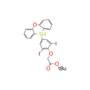 CC(C)(C)OC(=O)COc1c(I)cc([SH]2c3ccccc3Oc3ccccc32)cc1I